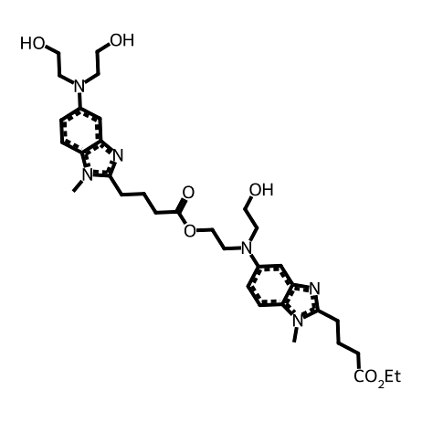 CCOC(=O)CCCc1nc2cc(N(CCO)CCOC(=O)CCCc3nc4cc(N(CCO)CCO)ccc4n3C)ccc2n1C